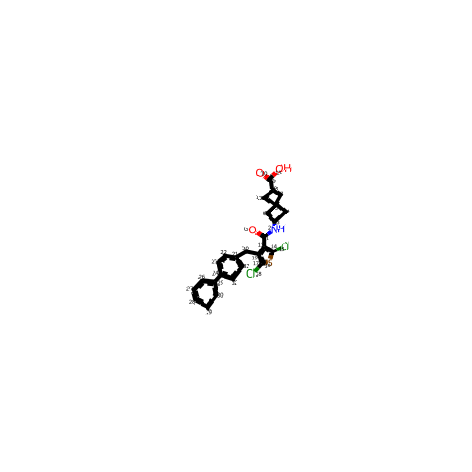 O=C(NC1CC2(C1)CC(C(=O)O)C2)c1c(Cl)sc(Cl)c1Cc1ccc(-c2ccccc2)cc1